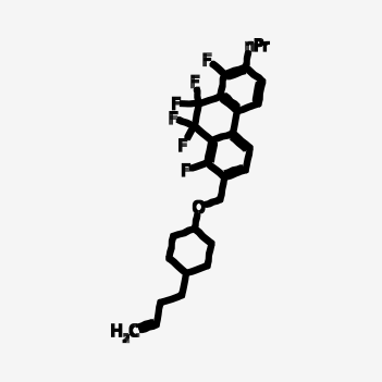 C=CCCC1CCC(OCc2ccc3c(c2F)C(F)(F)C(F)(F)c2c-3ccc(CCC)c2F)CC1